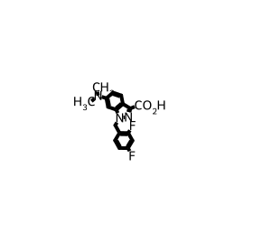 CN(C)c1ccc2c(C(=O)O)nn(Cc3ccc(F)cc3F)c2c1